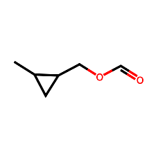 CC1CC1COC=O